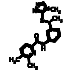 Cc1ccc(C(=O)Nc2cccc([C@H](C)Sc3nncn3C)c2)nc1C